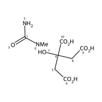 CNC(N)=O.O=C(O)CC(O)(CC(=O)O)C(=O)O